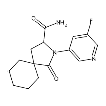 NC(=O)C1CC2(C[CH]CCC2)C(=O)N1c1cncc(F)c1